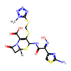 Cn1nnnc1SCSC1=C(C(=O)O)N2C(=O)C[C@H]2SC1NC(=O)/C(=N\O)c1csc(N)n1